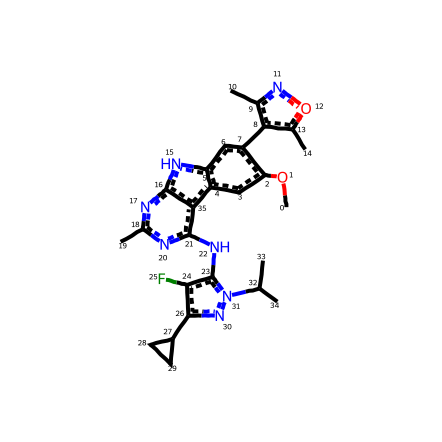 COc1cc2c(cc1-c1c(C)noc1C)[nH]c1nc(C)nc(Nc3c(F)c(C4CC4)nn3C(C)C)c12